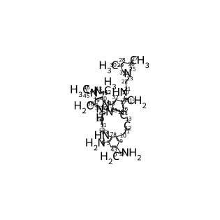 C=C(N)c1cc(N)c2c(c1)CCCCCc1cc(C(=C)NCCCN3CC(C)CC(C)C3)cc3nc(NC(=C)c4cc(C)nn4CC)n(c13)C/C=C/CN2